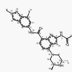 CC(=O)Nc1nc2c(C(=O)Nc3cc(F)c4nn(C)cc4c3)ccc(N3C[C@H](C)N[C@@H](C)C3)c2s1